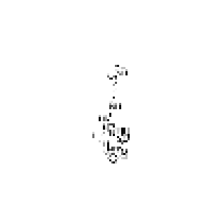 Cc1nc(NCCNCCCCCCC(=O)NO)cc(Nc2ncc(C(=O)Nc3c(C)cccc3Cl)s2)n1